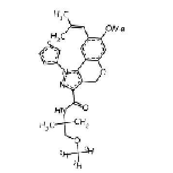 [2H]C([2H])([2H])OCC(C)(C)NC(=O)c1nn(-c2ccsc2)c2c1COc1cc(OC)c(C=C(C)C)cc1-2